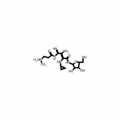 CN(C)CCC(=O)NC(=N)/C(N)=C(\NC1CC1)C(=O)NC1OC(CO)C(O)C1O